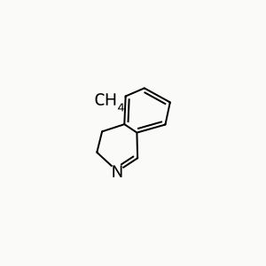 C.C1=NCCc2ccccc21